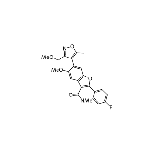 CNC(=O)c1c(-c2ccc(F)cc2)oc2cc(-c3c(COC)noc3C)c(OC)cc12